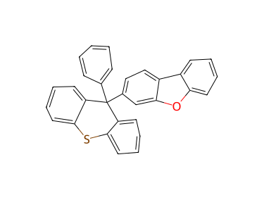 c1ccc(C2(c3ccc4c(c3)oc3ccccc34)c3ccccc3Sc3ccccc32)cc1